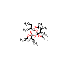 CCC(C)[Si]1(OC(C)C)O[Si](OC(C)C)(C(C)CC)O[Si](OC(C)C)(C(C)CC)O1